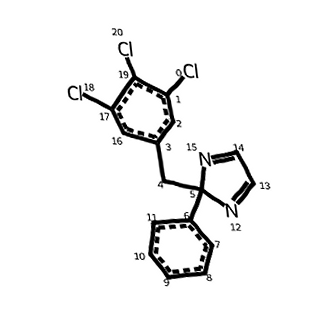 Clc1cc(CC2(c3ccccc3)N=CC=N2)cc(Cl)c1Cl